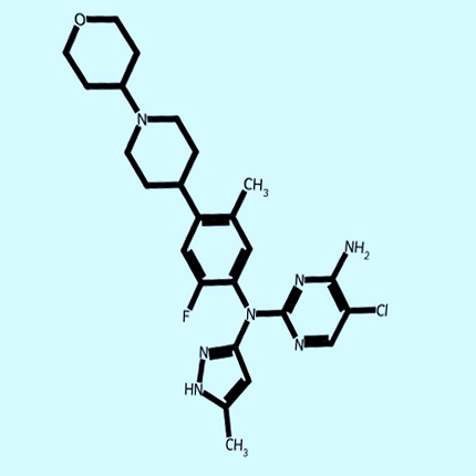 Cc1cc(N(c2ncc(Cl)c(N)n2)c2cc(C)c(C3CCN(C4CCOCC4)CC3)cc2F)n[nH]1